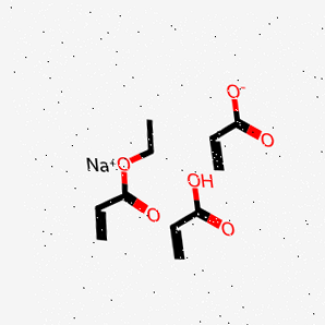 C=CC(=O)O.C=CC(=O)OCC.C=CC(=O)[O-].[Na+]